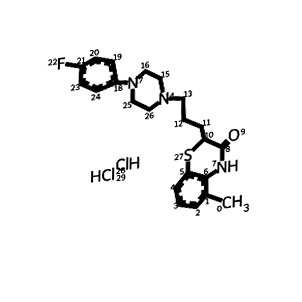 Cc1cccc2c1NC(=O)C(CCCN1CCN(c3ccc(F)cc3)CC1)S2.Cl.Cl